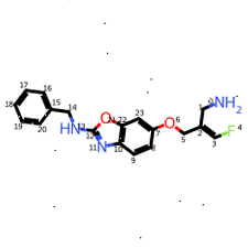 NC/C(=C\F)COc1ccc2nc(NCc3ccccc3)oc2c1